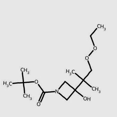 CCOOCC(C)(C)C1(O)CN(C(=O)OC(C)(C)C)C1